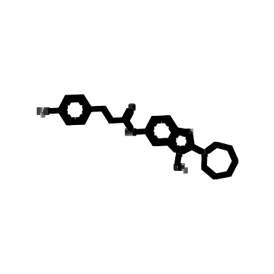 Cn1c(N2CCCCCC2)nc2ccc(NC(=O)CCc3ccc(C(F)(F)F)cc3)cc21